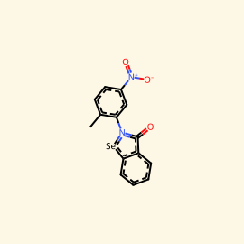 Cc1ccc([N+](=O)[O-])cc1-n1[se]c2ccccc2c1=O